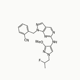 COc1nn(CC(C)F)cc1Nc1ncc2cnn(Cc3ccccc3C#N)c2n1